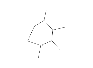 C[C]1CCC(C)C(C)C1C